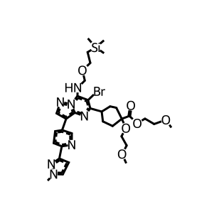 COCCOC(=O)C1(OCCOC)CCC(c2nc3c(-c4ccc(-c5ccn(C)n5)nc4)cnn3c(NCOCC[Si](C)(C)C)c2Br)CC1